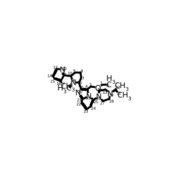 CCOCc1c(C2CCCC(c3ncccc3C)N2C)nc2cccc(N3CCN(C(C)C)CC3)n12